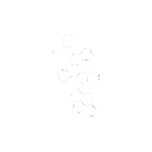 CC1C=CCCC1c1cc2c3ccccc3c3c(c4ccccc4n3-c3ccc4ccc5cccc6ccc3c4c56)c2c2ccccc12